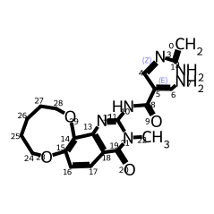 C=C(N)/N=C\C(=C/N)C(=O)Nc1nc2c3c(ccc2c(=O)n1C)OCCCCCO3